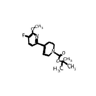 COc1nc(C2=CCN(C(=O)OC(C)(C)C)CC2)ccc1F